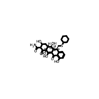 NC(=O)C1C(=O)[C@@]2(O)C(O)=C3C(=O)c4c(O)cccc4[C@H](CSC4CCCCC4)[C@H]3[C@H](O)[C@H]2CC1O